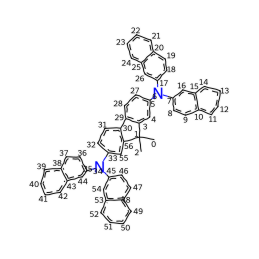 CC1(C)c2cc(N(c3ccc4ccccc4c3)c3ccc4ccccc4c3)ccc2-c2ccc(N(c3ccc4ccccc4c3)c3ccc4ccccc4c3)cc21